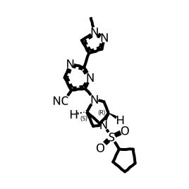 Cn1cc(-c2ncc(C#N)c(N3C[C@H]4C[C@H]3CN4S(=O)(=O)C3CCCC3)n2)cn1